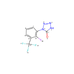 O=c1[nH]nnn1-c1cccc(C(F)(F)F)c1I